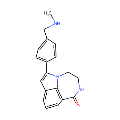 CNCc1ccc(-c2cc3cccc4c3n2CCNC4=O)cc1